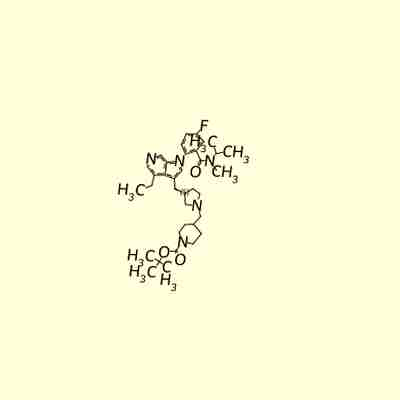 CCc1cncc2c1c(C[C@H]1CCN(CC3CCN(C(=O)OC(C)(C)C)CC3)C1)cn2-c1ccc(F)cc1C(=O)N(C)C(C)C